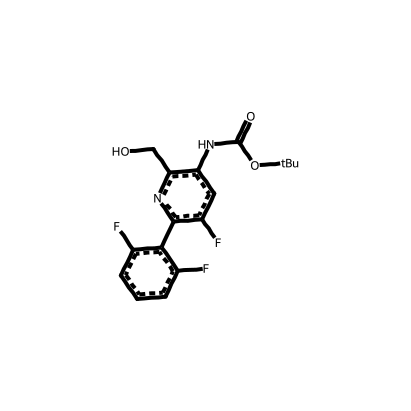 CC(C)(C)OC(=O)Nc1cc(F)c(-c2c(F)cccc2F)nc1CO